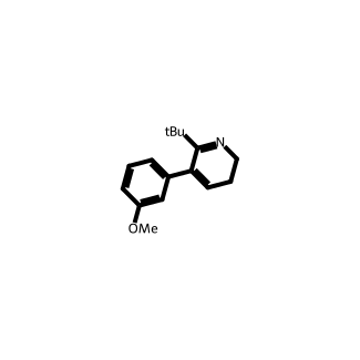 COc1cccc(C2=CCCN=C2C(C)(C)C)c1